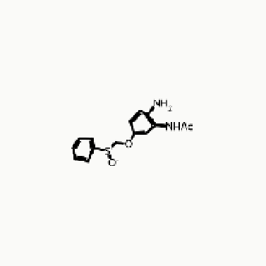 CC(=O)Nc1cc(OC[S+]([O-])c2ccccc2)ccc1N